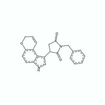 O=C1CC(c2c[nH]c3ccc4c(c23)C=CCO4)C(=O)N1Cc1ccccc1